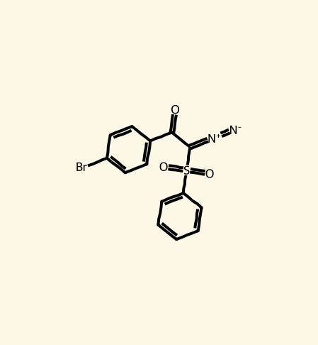 [N-]=[N+]=C(C(=O)c1ccc(Br)cc1)S(=O)(=O)c1ccccc1